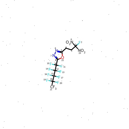 O=[N+]([O-])C(F)(CCc1nnc(C(F)(F)C(F)(F)C(F)(F)C(F)(F)C(F)(F)F)o1)[N+](=O)[O-]